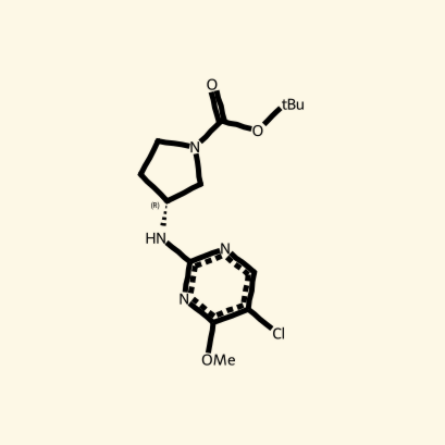 COc1nc(N[C@@H]2CCN(C(=O)OC(C)(C)C)C2)ncc1Cl